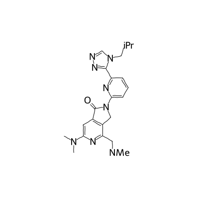 CNCc1nc(N(C)C)cc2c1CN(c1cccc(-c3nncn3CC(C)C)n1)C2=O